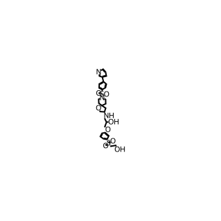 O=S(=O)(CCO)c1cccc(OCC(O)CNC2COC3(CCN(S(=O)(=O)c4ccc(-c5cccnc5)cc4)CC3)C2)c1